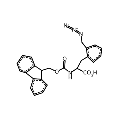 [N-]=[N+]=NCc1ccccc1CC(NC(=O)OCC1c2ccccc2-c2ccccc21)C(=O)O